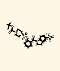 CC(C)(C)OC(=O)N1CCN(S(=O)(=O)Oc2ccccc2C(=O)N2CCc3cc(S(=O)(=O)Cl)ccc32)CC1